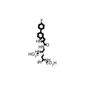 CC(C)C(CC[C@@H](CNC(=O)c1cc2cc(-c3ccc(F)cc3)ccc2[nH]1)NC(=O)O)NC(=O)O